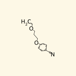 C=COCCCOc1ccc(C#N)cc1